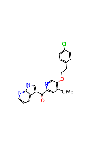 COc1cc(C(=O)c2c[nH]c3ncccc23)ncc1OCCc1ccc(Cl)cc1